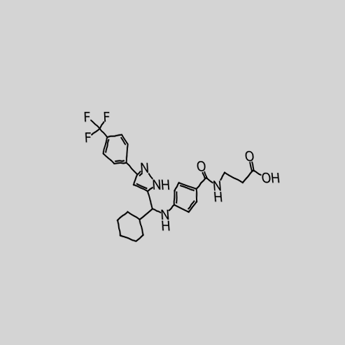 O=C(O)CCNC(=O)c1ccc(NC(c2cc(-c3ccc(C(F)(F)F)cc3)n[nH]2)C2CCCCC2)cc1